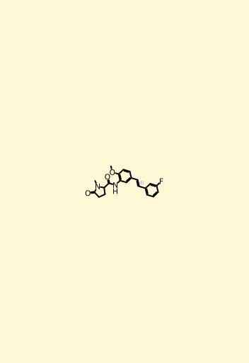 COc1ccc(/C=C/c2cccc(F)c2)cc1NC(=O)C1CCC(=O)N1C